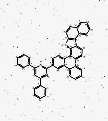 c1ccc(-c2cc(-c3ccccc3)nc(-c3ccc4c(c3)c3ccccc3c3ccc5c(sc6ccc7ccccc7c65)c34)n2)cc1